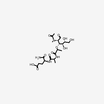 CC(=O)N(C)[C@@H](C=O)[C@@H](OC(C)C(=O)NC(C)C(=O)NC(CCC(=O)O)C(N)=O)[C@H](O)[C@H](O)CO